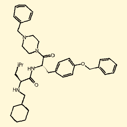 CC(C)C[C@H](NCC1CCCCC1)C(=O)N[C@@H](Cc1ccc(OCc2ccccc2)cc1)C(=O)N1CCN(Cc2ccccc2)CC1